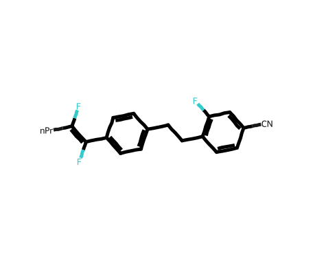 CCCC(F)=C(F)c1ccc(CCc2ccc(C#N)cc2F)cc1